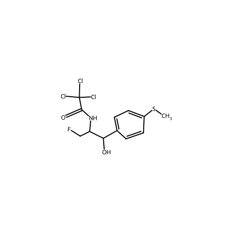 CSc1ccc(C(O)C(CF)NC(=O)C(Cl)(Cl)Cl)cc1